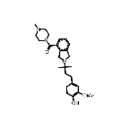 COC1=C(O)CCC(CCC(C)(C)N2Cc3cccc(C(=O)N4CCN(C)CC4)c3C2)=C1